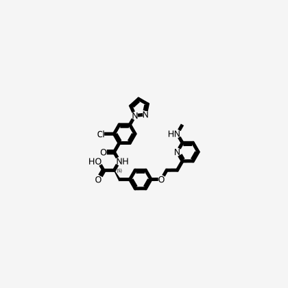 CNc1cccc(CCOc2ccc(C[C@H](NC(=O)c3ccc(-n4cccn4)cc3Cl)C(=O)O)cc2)n1